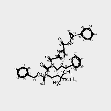 CC(C)(C)CCN(C(=O)OCc1ccccc1)C(=O)N(CCCc1ccccc1)C(=O)c1nc(C(=O)N[C@H]2C[C@H]2c2ccccc2)co1